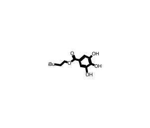 CCC(C)CCOC(=O)c1cc(O)c(O)c(O)c1